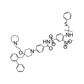 CC(C)(CSc1ccccc1)Nc1ccc(S(=O)(=O)NC(=O)c2ccc(N3CCC(Cc4ccccc4-c4ccccc4)(OCCN4CCCCC4)CC3)cc2)cc1[N+](=O)[O-]